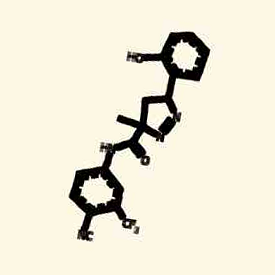 [C-]#[N+]c1ccc(NC(=O)C2(C)CC(c3ccccc3O)N=N2)cc1C(F)(F)F